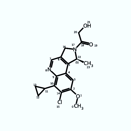 COc1cc2c3c(cnc2c(C2CC2)c1Cl)CN(C(=O)CO)[C@H]3C